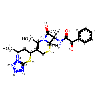 CO[C@]1(NC(=O)C(O)c2ccccc2)C(=O)N2C(C(=O)O)=C(C(CCC(=O)O)Sc3nnn[nH]3)CS[C@H]21